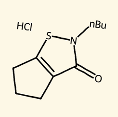 CCCCn1sc2c(c1=O)CCC2.Cl